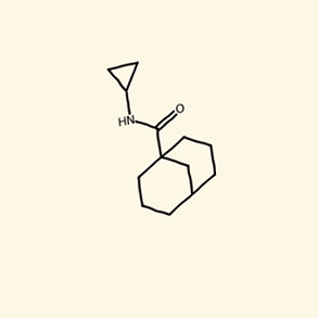 O=C(NC1CC1)C12CCCC(CCC1)C2